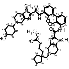 COC(=O)CCCC1(CN2CCc3c(nc(C(=O)Nc4cccc(-c5cccc(NC(=O)c6nc7c(n6C)CCN(C6CCC(O)CC6)C7)c5Cl)c4Cl)n3C)C2)CCCC1